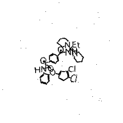 CCC(NC(=O)c1ccc(S(=O)(=O)Nc2ccccc2Oc2ccc(Cl)c(Cl)c2)cc1)(N1CCCCC1)N1CCCCC1